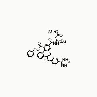 COC(=O)CC(NC(=O)c1ccc(-c2ccccc2C(=O)Nc2ccc(C(=N)N)cc2)c(C(=O)OCc2ccccc2)c1)C(C)(C)C